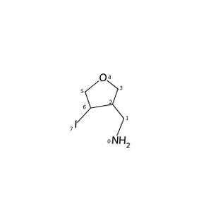 NCC1COCC1I